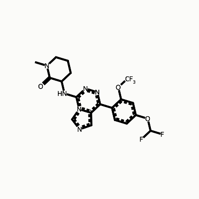 CN1CCCC(Nc2nnc(-c3ccc(OC(F)F)cc3OC(F)(F)F)c3cncn23)C1=O